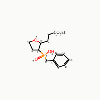 CCOC(=O)CCC1OCCC1P(=O)(O)Cc1ccccc1